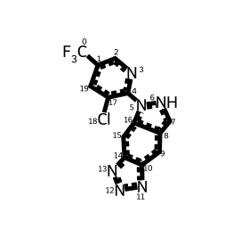 FC(F)(F)c1cnc(-n2[nH]cc3cc4nnnc4cc32)c(Cl)c1